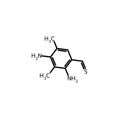 Cc1cc(C=S)c(N)c(C)c1N